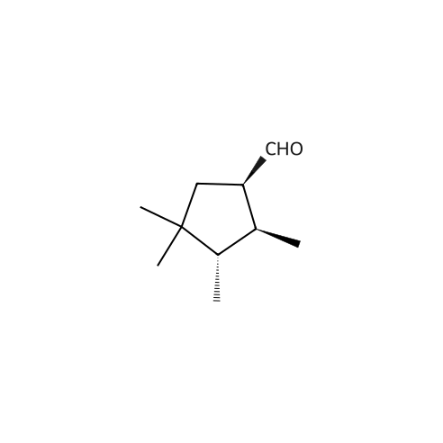 C[C@@H]1[C@H](C=O)CC(C)(C)[C@H]1C